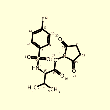 CC(C)[C@@H](NS(=O)(=O)c1ccc(F)cc1)C(=O)ON1C(=O)CCC1=O